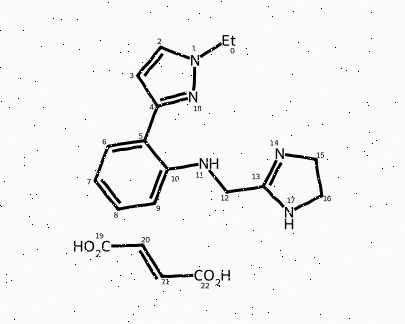 CCn1ccc(-c2ccccc2NCC2=NCCN2)n1.O=C(O)C=CC(=O)O